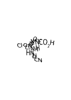 N#Cc1ccc(NCCNc2nc(-c3ccc(Cl)cc3Cl)cn3nc(C(=O)NCC(=O)O)cc23)nc1